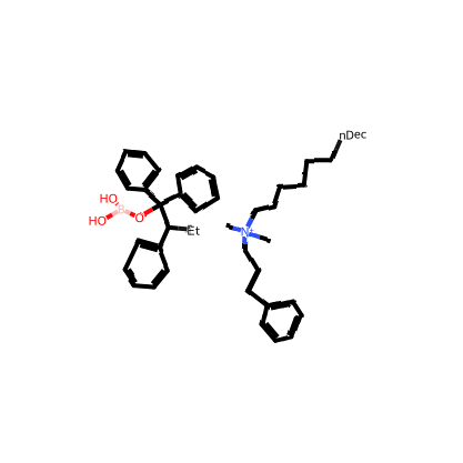 CCC(c1ccccc1)C(OB(O)O)(c1ccccc1)c1ccccc1.CCCCCCCCCCCCCCCC[N+](C)(C)CCCc1ccccc1